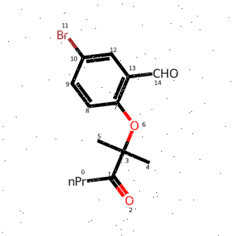 CCCC(=O)C(C)(C)Oc1ccc(Br)cc1C=O